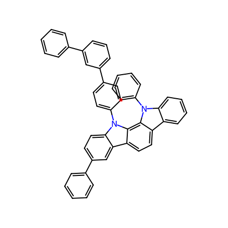 c1ccc(-c2cccc(-c3ccc(-n4c5ccc(-c6ccccc6)cc5c5ccc6c7ccccc7n(-c7ccccc7)c6c54)cc3)c2)cc1